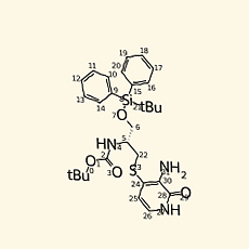 CC(C)(C)OC(=O)N[C@H](CO[Si](c1ccccc1)(c1ccccc1)C(C)(C)C)CSc1cc[nH]c(=O)c1N